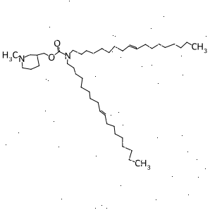 CCCCCCCCC=CCCCCCCCCN(CCCCCCCCC=CCCCCCCCC)C(=O)OCC1CCCN(C)C1